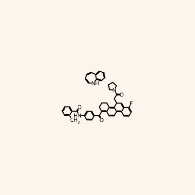 C1=CNc2ccccc2C=C1.Cc1ccccc1C(=O)Nc1ccc(C(=O)C2=c3ccc4c(c3CCC2)C(CC(=O)N2CCCC2)C=c2c(F)cccc2=4)cc1